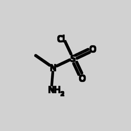 CN(N)S(=O)(=O)Cl